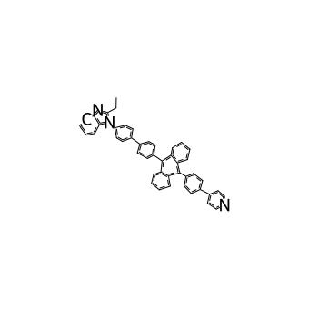 CCc1nc2ccccc2n1-c1ccc(-c2ccc(-c3c4ccccc4c(-c4ccc(-c5ccncc5)cc4)c4ccccc34)cc2)cc1